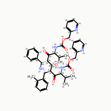 Cc1ccccc1C[C@H](C(=O)[C@@H](NC(=O)OCc1ccccn1)C(C)C)[C@@H](O)[C@@H](C(=O)[C@@H](NC(=O)OCc1ccccn1)C(C)C)C(N)c1ccccc1